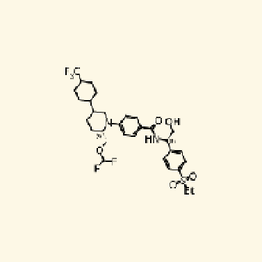 CCS(=O)(=O)c1ccc([C@H](CO)NC(=O)c2ccc(N3CC(C4CCC(C(F)(F)F)CC4)CC[C@H]3COC(F)F)cc2)cc1